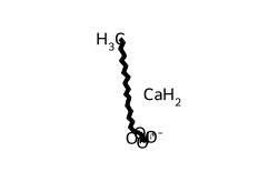 CCCCCCCCCCCCCCCCCC(=O)O[N+](=O)[O-].[CaH2]